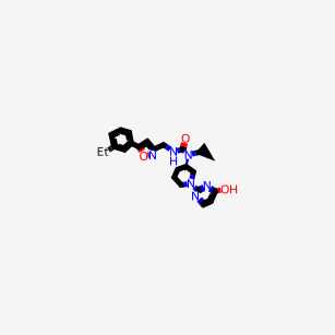 CCc1cccc(-c2cc(CNC(=O)N(C3CC3)[C@@H]3CCCN(c4nccc(O)n4)C3)no2)c1